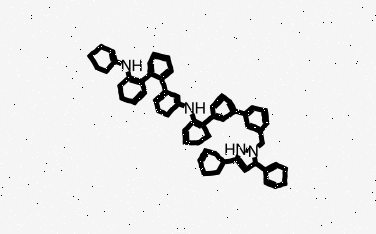 C1=CC(C2C=C(C3CC=CCC3)NN2Cc2cccc(-c3cccc(C4=C(NC5=CC(c6ccccc6C6=C(NC7=CCCCC7)CCC=C6)=CCC5)C=CCC4)c3)c2)=CCC1